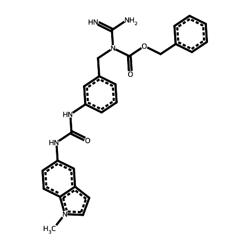 Cn1ccc2cc(NC(=O)Nc3cccc(CN(C(=N)N)C(=O)OCc4ccccc4)c3)ccc21